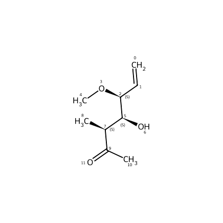 C=C[C@H](OC)[C@@H](O)[C@H](C)C(C)=O